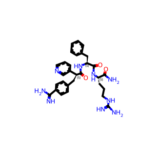 N=C(N)NCCC[C@H](NC(=O)[C@H](Cc1ccccc1)NC(=O)[C@@H](Cc1ccc(C(=N)N)cc1)c1cccnc1)C(N)=O